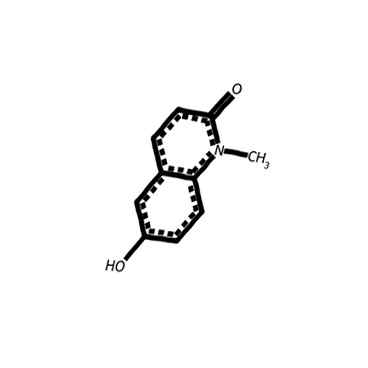 Cn1c(=O)ccc2cc(O)ccc21